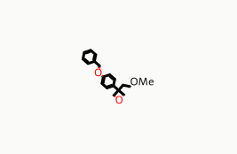 COCCC1(c2ccc(OCc3ccccc3)cc2)COC1